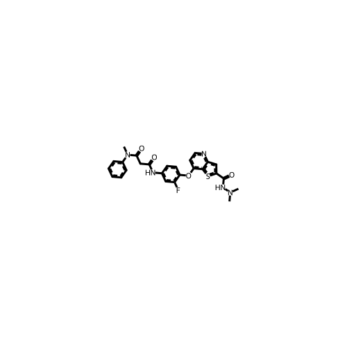 CN(C)NC(=O)c1cc2nccc(Oc3ccc(NC(=O)CC(=O)N(C)c4ccccc4)cc3F)c2s1